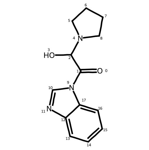 O=C(C(O)N1CCCC1)n1cnc2ccccc21